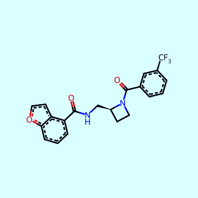 O=C(NC[C@@H]1CCN1C(=O)c1cccc(C(F)(F)F)c1)c1cccc2occc12